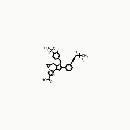 CC(C)(C)CC#Cc1cccc(-c2cc(-c3nc(C(=O)O)cs3)c(CC3CC3)n2Cc2ccc(S(N)(=O)=O)c(F)c2)c1